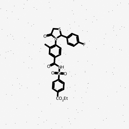 CCOC(=O)c1ccc(S(=O)(=O)NC(=O)c2ccc(N3C(=O)CSC3c3ccc(F)cc3)c(C)c2)cc1